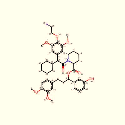 COc1ccc(CCC(OC(=O)C2CCCCN2C(=O)C(c2cc(OC)c(OCCI)c(OC)c2)C2CCCCC2)c2cccc(O)c2)cc1OC